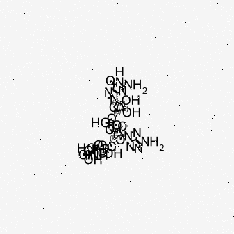 CO[C@@H]1[C@H](OP(=O)(O)OC[C@H]2O[C@@H](n3cnc4c(=O)[nH]c(N)nc43)[C@H](O)[C@@H]2O)[C@@H](COP(=O)(O)OP(=O)(O)NP(=O)(O)O)O[C@H]1n1cnc2c(N)ncnc21